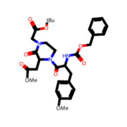 COC(=O)CC1C(=O)N(CC(=O)OC(C)(C)C)CCN1C(=O)C(Cc1ccc(OC)cc1)NC(=O)OCc1ccccc1